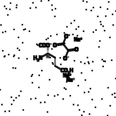 N[C@@H](CCC(=O)O)C(=O)[O-].O=C([O-])C(=O)[O-].[Na+].[Na+].[Na+]